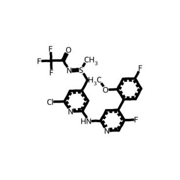 COc1cc(F)ccc1-c1cc(Nc2cc(CS(C)=NC(=O)C(F)(F)F)cc(Cl)n2)ncc1F